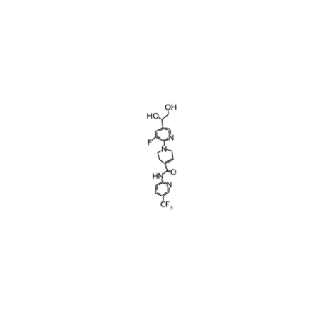 O=C(Nc1ccc(C(F)(F)F)cn1)C1=CCN(c2ncc([C@@H](O)CO)cc2F)CC1